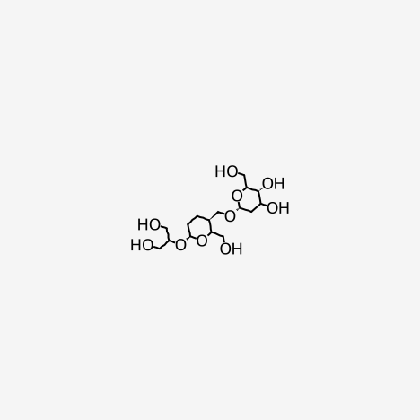 OCC(CO)O[C@H]1CC[C@@H](CO[C@H]2CC(O)[C@@H](O)C(CO)O2)C(CO)O1